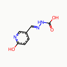 O=C(O)N/N=C/c1ccc(O)nc1